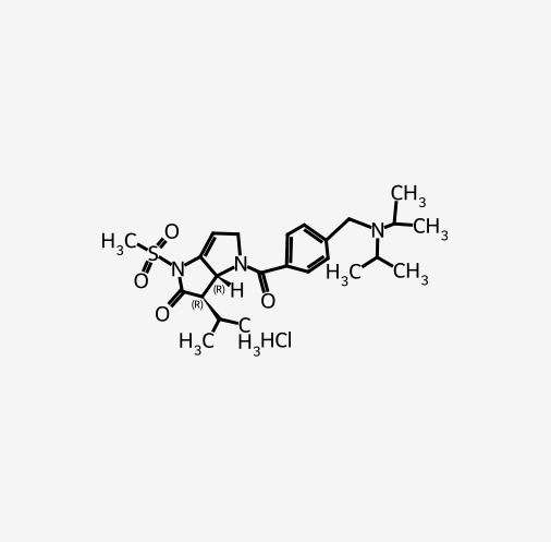 CC(C)[C@H]1C(=O)N(S(C)(=O)=O)C2=CCN(C(=O)c3ccc(CN(C(C)C)C(C)C)cc3)[C@@H]21.Cl